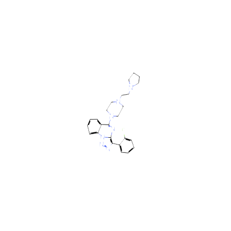 Fc1ccccc1-c1nnn2c1nc(N1CCN(CCN3CCCC3)CC1)c1ccccc12